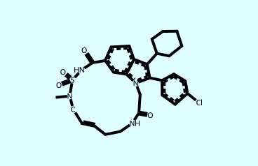 CN1C/C=C/CCNC(=O)Cn2c(-c3ccc(Cl)cc3)c(C3CCCCC3)c3ccc(cc32)C(=O)NS1(=O)=O